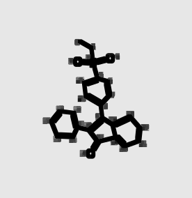 CCS(=O)(=O)c1ccc(C2=C(c3ccccc3)C(=O)c3ccccc32)cc1